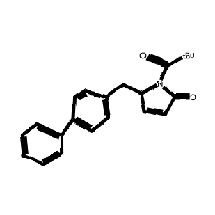 CC(C)(C)C(=O)N1C(=O)C=CC1Cc1ccc(-c2ccccc2)cc1